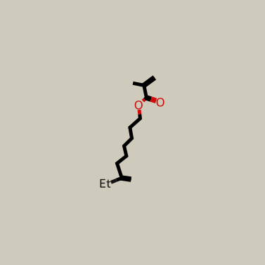 C=C(CC)CCCCCCOC(=O)C(=C)C